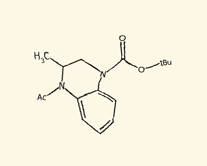 CC(=O)N1c2ccccc2N(C(=O)OC(C)(C)C)CC1C